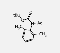 CC(=O)N(C(=O)OC(C)(C)C)c1c(C)[c]ccc1C